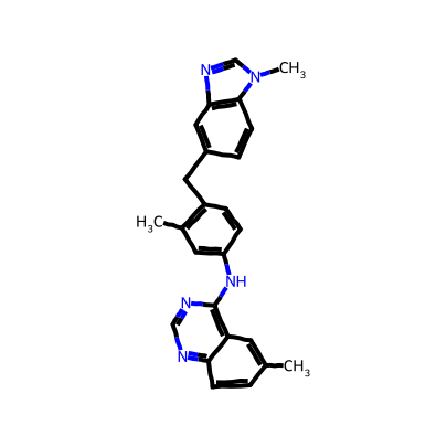 Cc1ccc2ncnc(Nc3ccc(Cc4ccc5c(c4)ncn5C)c(C)c3)c2c1